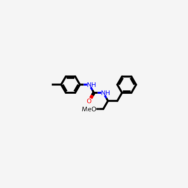 COCC(Cc1ccccc1)NC(=O)Nc1ccc(C)cc1